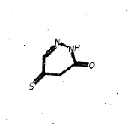 O=C1CC(=S)C=NN1